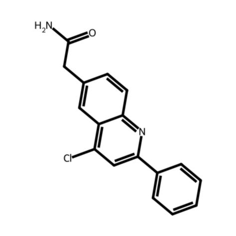 NC(=O)Cc1ccc2nc(-c3ccccc3)cc(Cl)c2c1